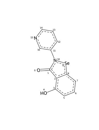 O=c1c2c(O)cccc2[se]n1-c1cccnc1